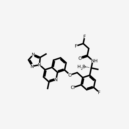 B[C@@](C)(NC(=O)CC(F)F)c1cc(F)cc(Cl)c1COc1cccc2c(-n3ncnc3C)cc(C)nc12